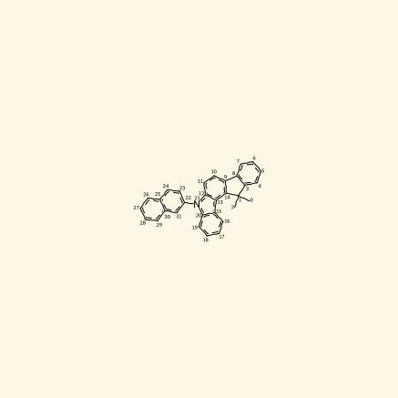 CC1(C)c2ccccc2-c2ccc3c(c21)c1ccccc1n3-c1ccc2ccccc2c1